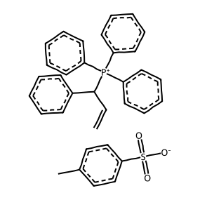 C=CC(c1ccccc1)[P+](c1ccccc1)(c1ccccc1)c1ccccc1.Cc1ccc(S(=O)(=O)[O-])cc1